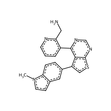 Cn1ccc2cc(-c3csc4ncnc(-c5cccnc5CN)c34)ccc21